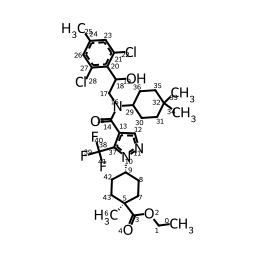 CCOC(=O)[C@]1(C)CC[C@@H](n2ncc(C(=O)N(CC(O)c3c(Cl)cc(C)cc3Cl)C3CCC(C)(C)CC3)c2C(F)(F)F)CC1